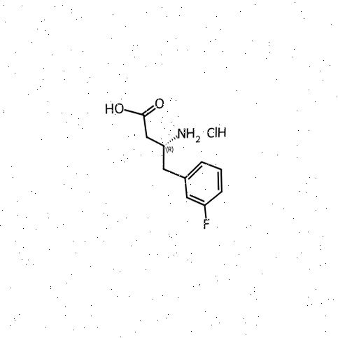 Cl.N[C@@H](CC(=O)O)Cc1cccc(F)c1